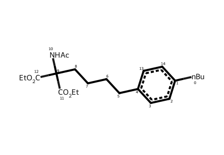 CCCCc1ccc(CCCCC(NC(C)=O)(C(=O)OCC)C(=O)OCC)cc1